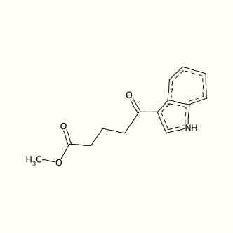 COC(=O)CCCC(=O)c1c[nH]c2ccccc12